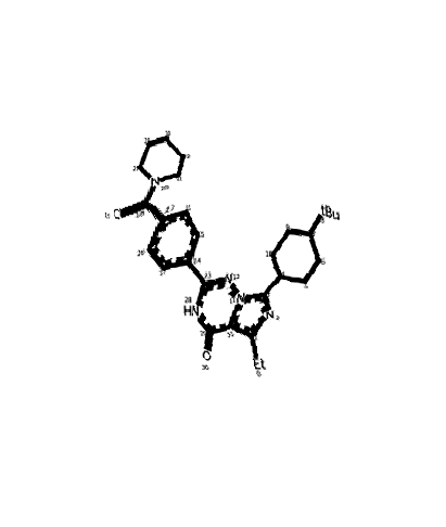 CCc1nc(C2CCC(C(C)(C)C)CC2)n2nc(-c3ccc(C(=O)N4CCCCC4)cc3)[nH]c(=O)c12